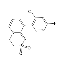 O=S1(=O)CCN2C=CC=C(c3ccc(F)cc3Cl)C2=N1